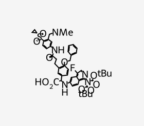 CNCc1cc(NC(=O)CCc2cc(C(Nc3ccc4c(N(C(=O)OC(C)(C)C)C(=O)OC(C)(C)C)ncc(F)c4c3)C(=O)O)ccc2OCc2ccccc2)ccc1S(=O)(=O)C1CC1